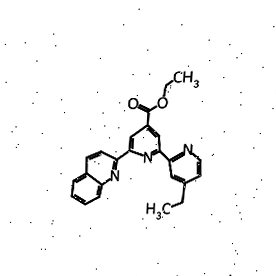 CCOC(=O)c1cc(-c2cc(CC)ccn2)nc(-c2ccc3ccccc3n2)c1